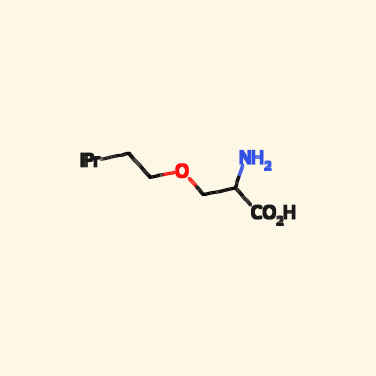 CC(C)CCOCC(N)C(=O)O